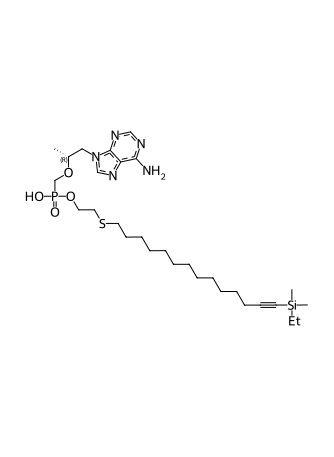 CC[Si](C)(C)C#CCCCCCCCCCCCCSCCOP(=O)(O)CO[C@H](C)Cn1cnc2c(N)ncnc21